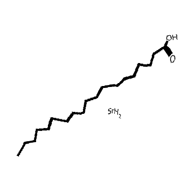 CCCCCCCCCCCCCCCCCCC(=O)O.[SrH2]